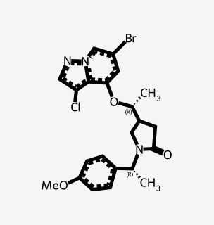 COc1ccc([C@@H](C)N2CC([C@@H](C)Oc3cc(Br)cn4ncc(Cl)c34)CC2=O)cc1